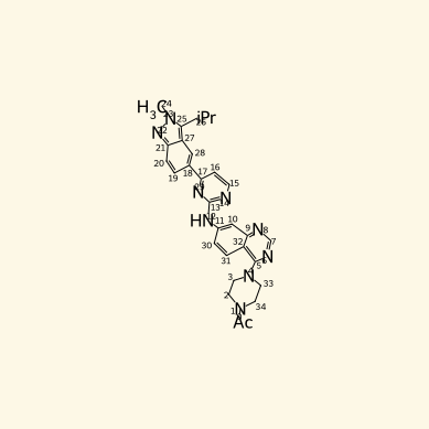 CC(=O)N1CCN(c2ncnc3cc(Nc4nccc(-c5ccc6nn(C)c(C(C)C)c6c5)n4)ccc23)CC1